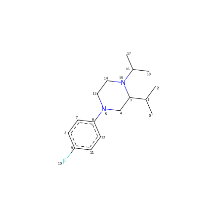 CC(C)C1CN(c2ccc(F)cc2)CCN1C(C)C